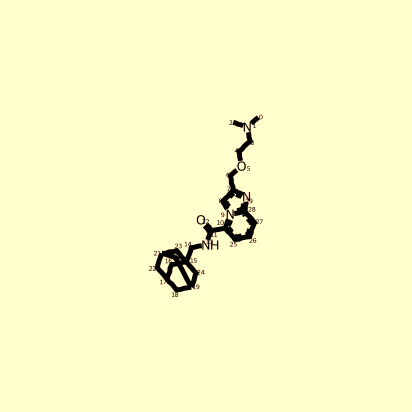 CN(C)CCOCc1cn2c(C(=O)NCC34CC5CC(CC(C5)C3)C4)cccc2n1